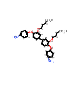 Nc1ccc(Oc2ccc(-c3ccc(Oc4ccc(N)cc4)c(OCCCC(=O)O)c3)cc2OCCCC(=O)O)cc1